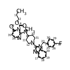 CCCOC(=O)n1c(N(C)C2CCN(c3nc4ccccc4n3Cc3ccc(F)cc3)CC2)nccc1=O